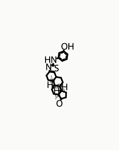 C[C@]12CCc3nc(Nc4cccc(O)c4)sc3C1CC[C@@H]1[C@@H]2CC[C@]2(C)C(=O)CC[C@@H]12